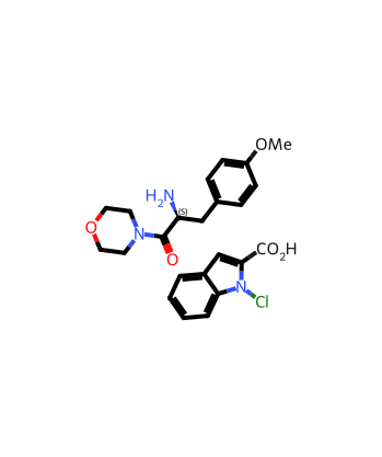 COc1ccc(C[C@H](N)C(=O)N2CCOCC2)cc1.O=C(O)c1cc2ccccc2n1Cl